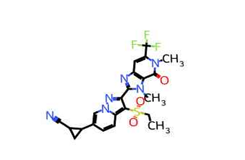 CCS(=O)(=O)c1c(-c2nc3cc(C(F)(F)F)n(C)c(=O)c3n2C)nn2cc(C3CC3C#N)ccc12